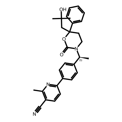 Cc1nc(-c2ccc([C@H](C)N3CCC(CC(C)(C)O)(c4ccccc4)OC3=O)cc2)ccc1C#N